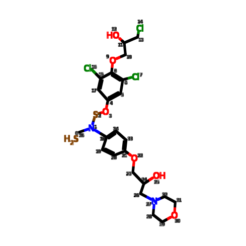 CN(SOc1cc(Cl)c(OCC(O)CCl)c(Cl)c1)c1ccc(OCC(O)CN2CCOCC2)cc1.S